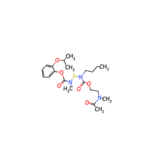 CCCCN(SN(C)C(=O)Oc1ccccc1OC(C)C)C(=O)OCCN(C)C(C)=O